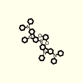 c1ccc(N(c2ccccc2)c2ccc3c4c5c(ccc4n(-c4ccccc4)c3c2)B2c3ccc4c(c3Oc3cccc(c32)O5)c2ccc(N(c3ccccc3)c3ccccc3)cc2n4-c2ccccc2)cc1